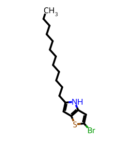 CCCCCCCCCCCCc1cc2sc(Br)cc2[nH]1